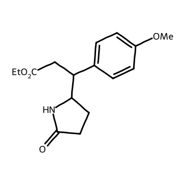 CCOC(=O)CC(c1ccc(OC)cc1)C1CCC(=O)N1